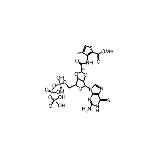 COC(=O)c1scc(C)c1NC(=O)[C@@H]1OC2C(COP(=O)(O)OP(=O)(O)OP(=O)(O)O)OC(n3cnc4c(=S)[nH]c(N)nc43)C2O1